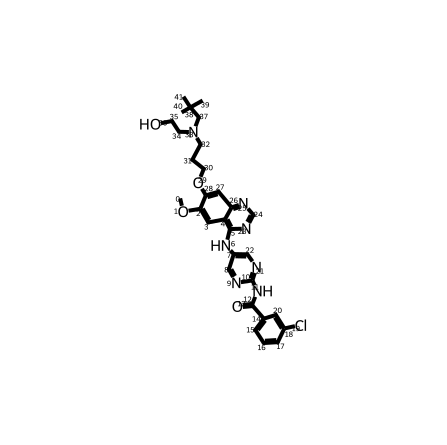 COc1cc2c(Nc3cnc(NC(=O)c4cccc(Cl)c4)nc3)ncnc2cc1OCCCN(CCO)CC(C)(C)C